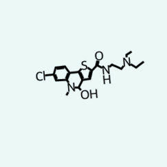 CCN(CC)CCNC(=O)c1cc2c(s1)-c1ccc(Cl)cc1N(C)C2O